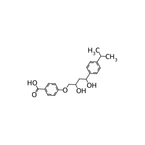 CC(C)c1ccc(C(O)CC(O)COc2ccc(C(=O)O)cc2)cc1